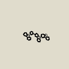 c1cc(-c2ccc3c(c2)c2ccccc2n3-c2ccc3oc4ccccc4c3c2)cc(-n2c3ccccc3c3ccccc32)c1